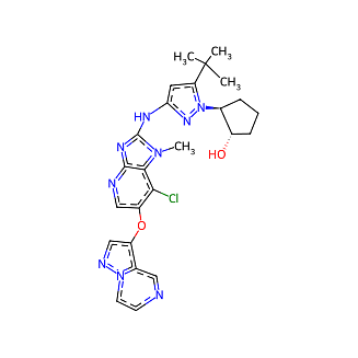 Cn1c(Nc2cc(C(C)(C)C)n([C@H]3CCC[C@@H]3O)n2)nc2ncc(Oc3cnn4ccncc34)c(Cl)c21